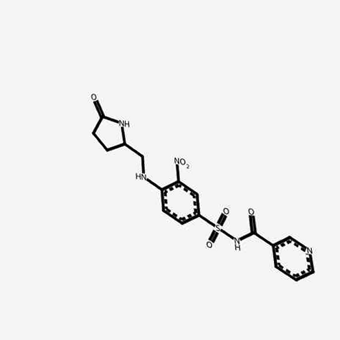 O=C1CCC(CNc2ccc(S(=O)(=O)NC(=O)c3cccnc3)cc2[N+](=O)[O-])N1